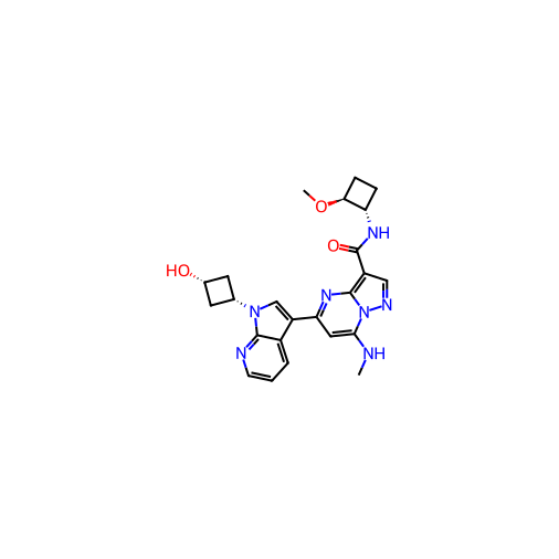 CNc1cc(-c2cn([C@H]3C[C@@H](O)C3)c3ncccc23)nc2c(C(=O)N[C@H]3CC[C@@H]3OC)cnn12